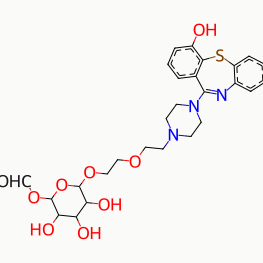 O=COC1OC(OCCOCCN2CCN(C3=Nc4ccccc4Sc4c(O)cccc43)CC2)C(O)C(O)C1O